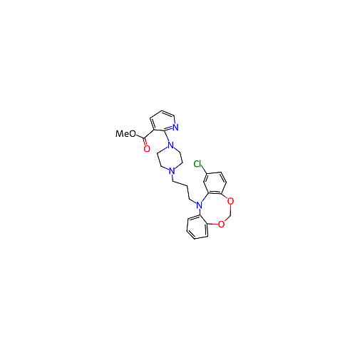 COC(=O)c1cccnc1N1CCN(CCCN2c3ccccc3OCOc3ccc(Cl)cc32)CC1